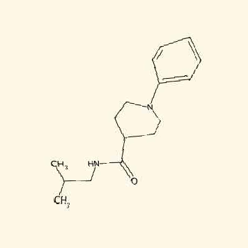 CC(C)CNC(=O)C1CCN(c2ccccc2)CC1